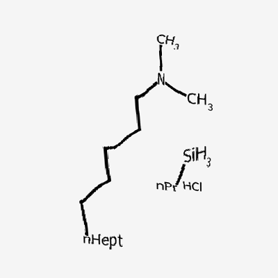 CCCCCCCCCCCCN(C)C.CCC[SiH3].Cl